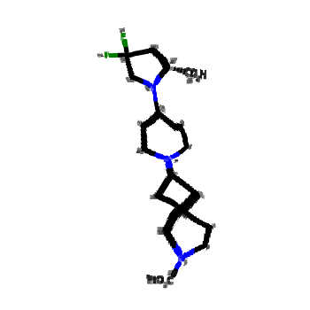 CCOC(=O)N1CCC2(CC(N3CCC(N4CC(F)(F)C[C@@H]4C(=O)O)CC3)C2)C1